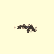 O=S(=O)(CCOSOOO)c1ccc(/N=N/c2c(SOOO)cc3cc(Nc4nc(Cl)nc(Cl)n4)ccc3c2O)cc1